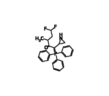 CC(CC(F)F)C(=O)C(C1CN1)=P(c1ccccc1)(c1ccccc1)c1ccccc1